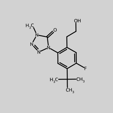 Cn1nnn(-c2cc(C(C)(C)C)c(F)cc2CCO)c1=O